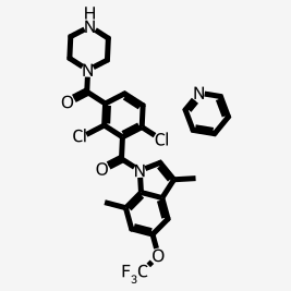 Cc1cn(C(=O)c2c(Cl)ccc(C(=O)N3CCNCC3)c2Cl)c2c(C)cc(OC(F)(F)F)cc12.c1ccncc1